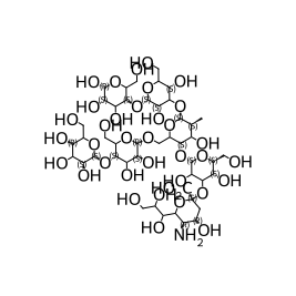 C[C@H]1C(O)[C@H](O[C@@H]2O[C@@H](CO)[C@H](O)C(O[C@]3(C(=O)O)C[C@@H](O)[C@@H](N)C(C(O)C(O)CO)O3)C2O)C(CO[C@@H]2OC(CO)[C@@H](O[C@@H]3OC(CO)[C@H](O)C(O)[C@@H]3O)C(O)[C@@H]2O)O[C@H]1OC1[C@@H](O)C(CO)O[C@@H](O[C@@H]2C(CO)O[C@@H](O)[C@@H](O)C2O)[C@H]1O